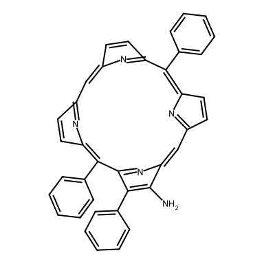 NC1=C(c2ccccc2)C2=NC1=CC1=NC(=C(c3ccccc3)C3=NC(=CC4=NC(=C2c2ccccc2)C=C4)C=C3)C=C1